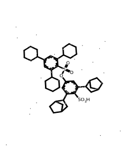 O=S(=O)(O)c1c(C2CC3CCC2C3)cc(OS(=O)(=O)c2c(C3CCCCC3)cc(C3CCCCC3)cc2C2CCCCC2)cc1C1CC2CCC1C2